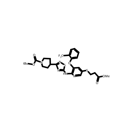 COC(=O)CCSc1cnc(Nc2nc(C3CCN(C(=O)OC(C)(C)C)CC3)ns2)c(Oc2ccccc2C(F)(F)F)c1